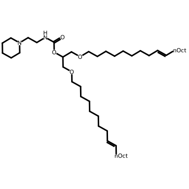 CCCCCCCCC=CCCCCCCCCOCC(COCCCCCCCCC=CCCCCCCCC)OC(=O)NCCN1CCCCC1